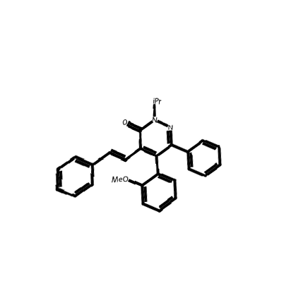 COc1ccccc1-c1c(-c2ccccc2)nn(C(C)C)c(=O)c1/C=C/c1ccccc1